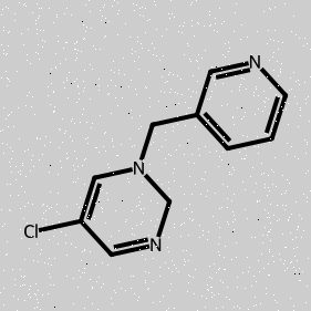 ClC1=CN(Cc2cccnc2)CN=C1